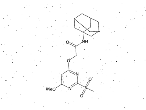 COc1cc(OCC(=O)NC23CC4CC(CC(C4)C2)C3)nc(S(C)(=O)=O)n1